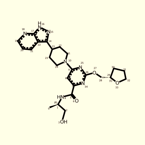 C[C@H](CO)NC(=O)c1cc(N2CCC(c3n[nH]c4ncccc34)CC2)nc(OC[C@@H]2CCCO2)n1